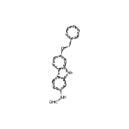 O=CNc1ccc2c(c1)[nH]c1cc(OCc3ccccc3)ccc12